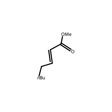 CCCCCC=CC(=O)OC